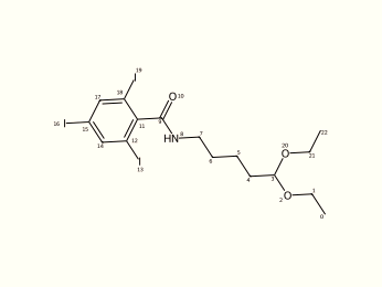 CCOC(CCCCNC(=O)c1c(I)cc(I)cc1I)OCC